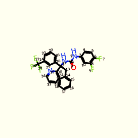 O=C(Nc1ccc(F)c(F)c1)NC(Cc1ccccc1)(c1cccc(C(F)(F)F)c1)c1ccccn1